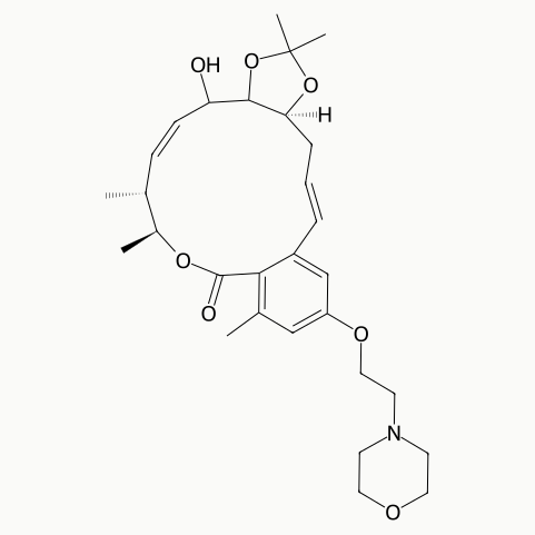 Cc1cc(OCCN2CCOCC2)cc2c1C(=O)O[C@@H](C)[C@H](C)/C=C\C(O)C1OC(C)(C)O[C@H]1C/C=C/2